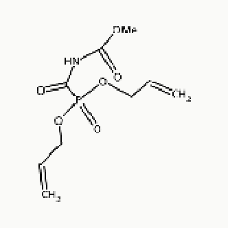 C=CCOP(=O)(OCC=C)C(=O)NC(=O)OC